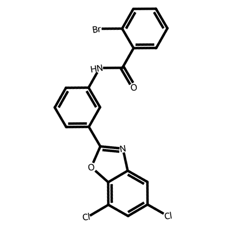 O=C(Nc1cccc(-c2nc3cc(Cl)cc(Cl)c3o2)c1)c1ccccc1Br